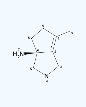 CC1=C2C[N]C[C@]2(N)CC1